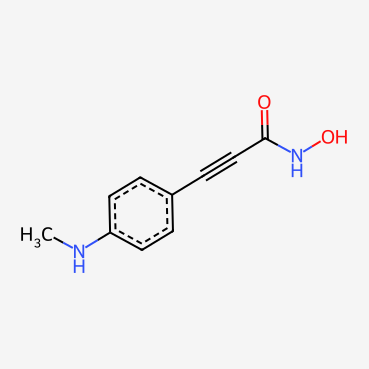 CNc1ccc(C#CC(=O)NO)cc1